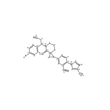 COc1cc(C2CC23CCCN(C(CO)c2ccc(F)cc2)C3=O)ccc1-n1cnc(C)c1